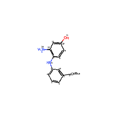 CC(C)COc1cccc(Nc2ccc(O)cc2N)c1